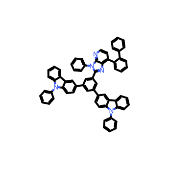 c1ccc(-c2ccccc2-c2ccnc3c2nc(-c2cc(-c4ccc5c(c4)c4ccccc4n5-c4ccccc4)cc(-c4ccc5c(c4)c4ccccc4n5-c4ccccc4)c2)n3-c2ccccc2)cc1